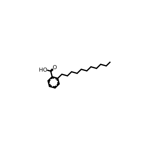 CCCCCCCCCCCc1ccccc1C(=O)O